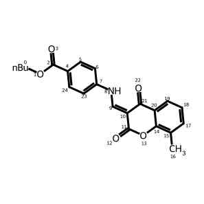 CCCCOC(=O)c1ccc(NC=C2C(=O)Oc3c(C)cccc3C2=O)cc1